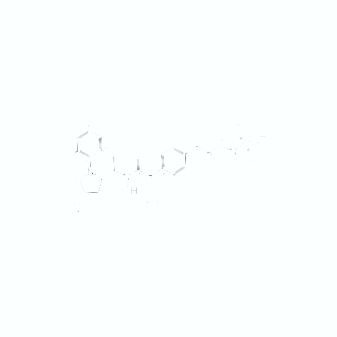 CN(CCc1ccccc1N1CC[C@H](O)C1)C(=O)Cc1ccc(CCCNS(C)(=O)=O)cc1.Cl